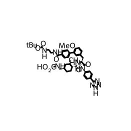 COc1ccc(C[C@H](NC(=O)[C@H]2CC[C@H](CNC(=O)O)CC2)C(=O)Nc2ccc(-c3nn[nH]n3)cc2)cc1-c1ccc(C(=O)NCCNC(=O)OC(C)(C)C)cc1C